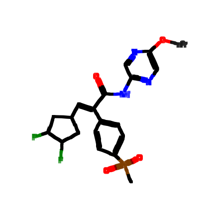 CCCOc1cnc(NC(=O)/C(=C/C2CC(F)C(F)C2)c2ccc(S(C)(=O)=O)cc2)cn1